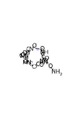 NCCOCCNC(=O)[C@@H]1CCNC(=O)/C=C/C(=O)N2CCC[C@H](C2)C(=O)N[C@H](Cc2ccco2)C(=O)NCc2ccccc2CC(=O)N1